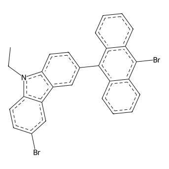 CCn1c2ccc(Br)cc2c2cc(-c3c4ccccc4c(Br)c4ccccc34)ccc21